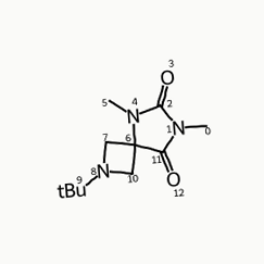 CN1C(=O)N(C)C2(CN(C(C)(C)C)C2)C1=O